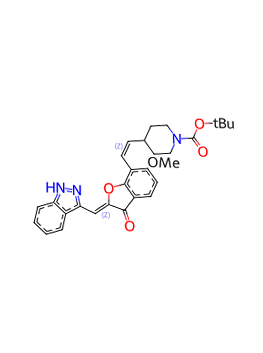 COc1ccc2c(c1/C=C\C1CCN(C(=O)OC(C)(C)C)CC1)O/C(=C\c1n[nH]c3ccccc13)C2=O